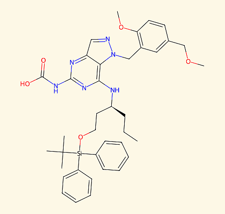 CCC[C@@H](CCO[Si](c1ccccc1)(c1ccccc1)C(C)(C)C)Nc1nc(NC(=O)O)nc2cnn(Cc3cc(COC)ccc3OC)c12